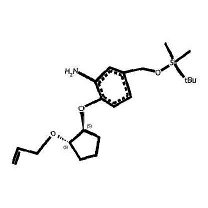 C=CCO[C@H]1CCC[C@@H]1Oc1ccc(CO[Si](C)(C)C(C)(C)C)cc1N